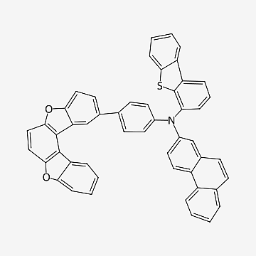 c1ccc2c(c1)ccc1cc(N(c3ccc(-c4ccc5oc6ccc7oc8ccccc8c7c6c5c4)cc3)c3cccc4c3sc3ccccc34)ccc12